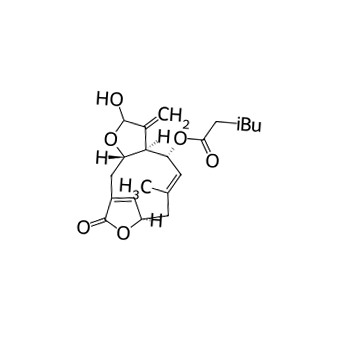 C=C1C(O)O[C@H]2CC3=C[C@@H](C/C(C)=C/[C@@H](OC(=O)CC(C)CC)[C@H]12)OC3=O